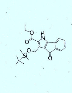 CCOC(=O)c1[nH]c2c(c1CO[Si](C)(C)C(C)(C)C)C(=O)c1ccccc1-2